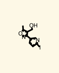 Cc1onc(-c2ccc(I)nc2)c1CO